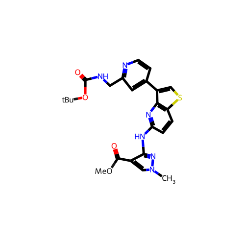 COC(=O)c1cn(C)nc1Nc1ccc2scc(-c3ccnc(CNC(=O)OC(C)(C)C)c3)c2n1